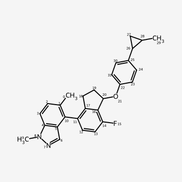 Cc1ccc2c(cnn2C)c1-c1ccc(F)c2c1CCC2Oc1ccc(C2CC2C)cc1